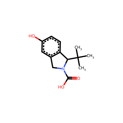 CC(C)(C)C1c2ccc(O)cc2CN1C(=O)O